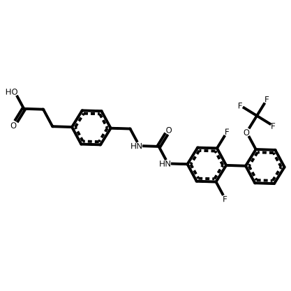 O=C(O)CCc1ccc(CNC(=O)Nc2cc(F)c(-c3ccccc3OC(F)(F)F)c(F)c2)cc1